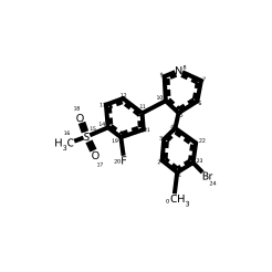 Cc1ccc(-c2ccncc2-c2ccc(S(C)(=O)=O)c(F)c2)cc1Br